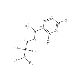 CC(COC(F)(F)C(F)F)c1ccc(Cl)cc1Cl